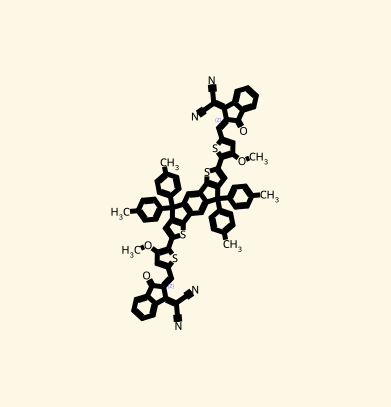 COc1cc(/C=C2\C(=O)c3ccccc3C2=C(C#N)C#N)sc1-c1cc2c(s1)-c1cc3c(cc1C2(c1ccc(C)cc1)c1ccc(C)cc1)-c1sc(-c2sc(/C=C4\C(=O)c5ccccc5C4=C(C#N)C#N)cc2OC)cc1C3(c1ccc(C)cc1)c1ccc(C)cc1